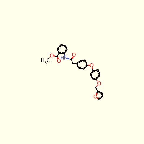 COC(=O)c1ccccc1NC(=O)Cc1ccc(Oc2ccc(OCc3ccco3)cc2)cc1